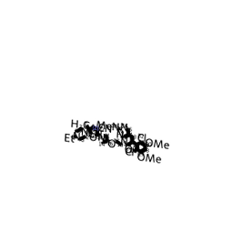 CCN1CCN(C(C)(C)/C=C(/C#N)C(=O)N2CC(OCCn3c(=O)c(-c4c(Cl)c(OC)cc(OC)c4Cl)cc4cnc(NC)nc43)C2)CC1